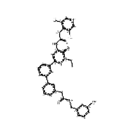 CCn1nc(-c2cccc(-c3cccc(CC(=O)NCc4cccc(O)c4)c3)c2)cc(NC(=O)Nc2c(Cl)cncc2Cl)c1=O